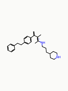 C=C(/C(C)=C(\C)NCCCC1CCNCC1)c1ccc(CCc2ccccc2)cc1